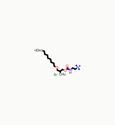 CCCCCCCCCCCCCCCCCCOCC(COC(=O)NCC[N+](C)(C)C)OC(C)=O.[Br-]